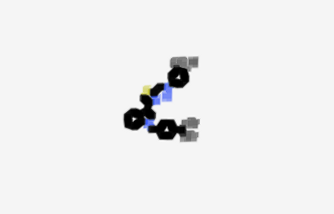 CCCC(CCC)c1ccc(Cn2cc(-c3csc(CNc4cccc(C(=O)O)c4)n3)c3ccccc32)cc1